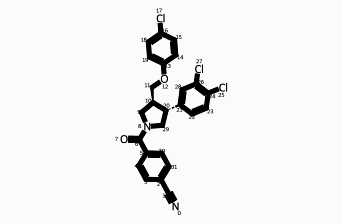 N#Cc1ccc(C(=O)N2C[C@@H](COc3ccc(Cl)cc3)[C@H](c3ccc(Cl)c(Cl)c3)C2)cc1